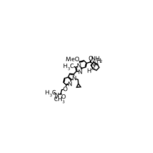 COc1cc(C(=O)N2[C@H]3CC[C@@H]2[C@H](N)C3)cc2nc(-c3cc4ccc(OCC(=O)N(C)C)nc4n3CC3CC3)c(C)n12